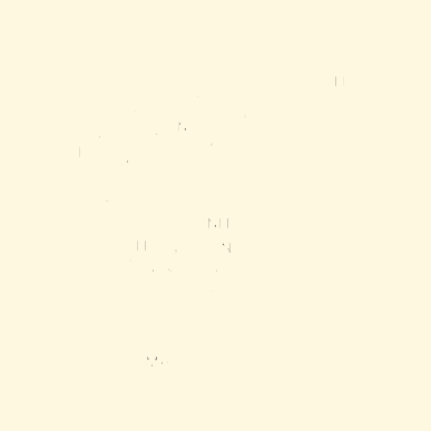 COCCOc1n[nH]c(-c2cc(C(=O)N3CC(c4ccc(C)cc4)C3)c(C)cc2C)c1C